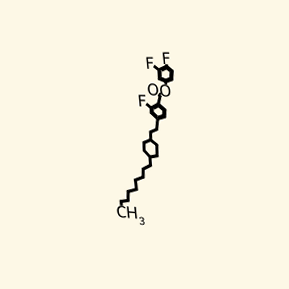 CCCCCCCCCC1CCC(CCc2ccc(C(=O)Oc3ccc(F)c(F)c3)c(F)c2)CC1